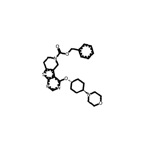 O=C(OCc1ccccc1)N1CCc2sc3ncnc(O[C@H]4CC[C@H](N5CCOCC5)CC4)c3c2C1